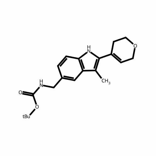 Cc1c(C2=CCOCC2)[nH]c2ccc(CNC(=O)OC(C)(C)C)cc12